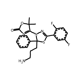 CC1(C)OC(=O)N=C1N1N=C(c2cc(F)ccc2F)SC1(CCCN)c1ccccc1